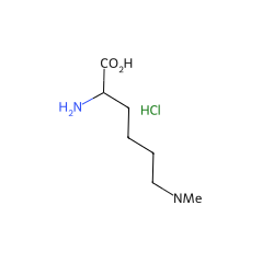 CNCCCCC(N)C(=O)O.Cl